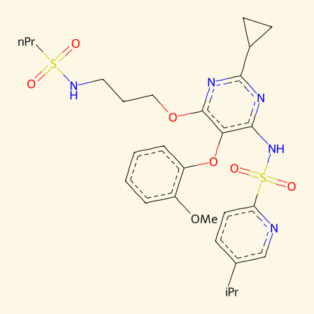 CCCS(=O)(=O)NCCCOc1nc(C2CC2)nc(NS(=O)(=O)c2ccc(C(C)C)cn2)c1Oc1ccccc1OC